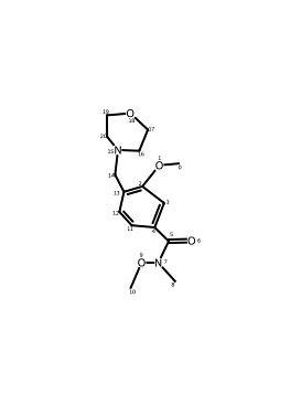 COc1cc(C(=O)N(C)OC)ccc1CN1CCOCC1